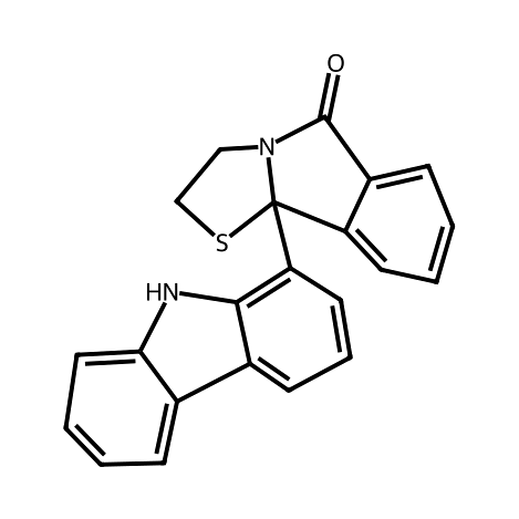 O=C1c2ccccc2C2(c3cccc4c3[nH]c3ccccc34)SCCN12